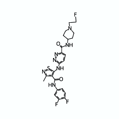 Cc1nsc(Nc2ccc(C(=O)NC3CCN(CCF)CC3)nn2)c1C(=O)Nc1ccc(F)c(F)c1